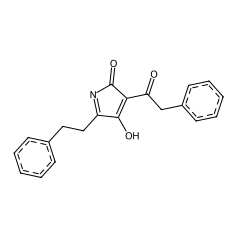 O=C(Cc1ccccc1)C1=C(O)C(CCc2ccccc2)=NC1=O